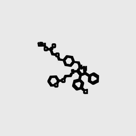 CC(C)(C)OC(=O)COC[C@H]1CC[C@@H](Cn2nc(-c3ccccc3)c(-c3cccc(Cl)c3)c2SCCOC2CCCCO2)CC1